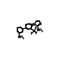 NC1=NC=C[SH]1c1ccc(-c2cccc(N)c2)cc1C(F)(F)F